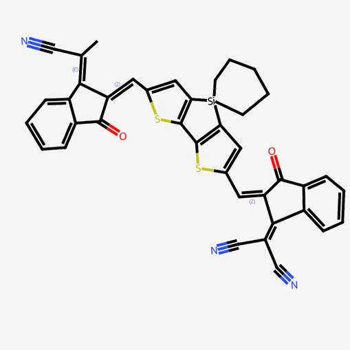 C/C(C#N)=C1\C(=C\c2cc3c(s2)-c2sc(/C=C4\C(=O)c5ccccc5C4=C(C#N)C#N)cc2[Si]32CCCCC2)C(=O)c2ccccc21